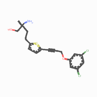 CC(N)(CO)CCc1ccc(C#CCOc2cc(Cl)cc(Cl)c2)s1